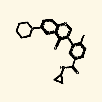 Cc1ccc(C(=O)NC2CC2)cc1-n1cnc2ccc(N3CCCCC3)cc2c1=O